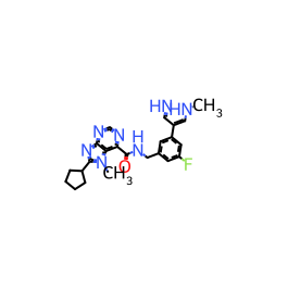 CN/C=C(\C=N)c1cc(F)cc(CNC(=O)c2ncnc3nc(C4CCCC4)n(C)c23)c1